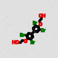 OCCOc1c(Br)cc(-c2cc(Br)c(OCCO)c(Br)c2)cc1Br